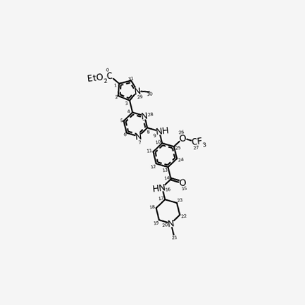 CCOC(=O)c1cc(-c2ccnc(Nc3ccc(C(=O)NC4CCN(C)CC4)cc3OC(F)(F)F)n2)n(C)c1